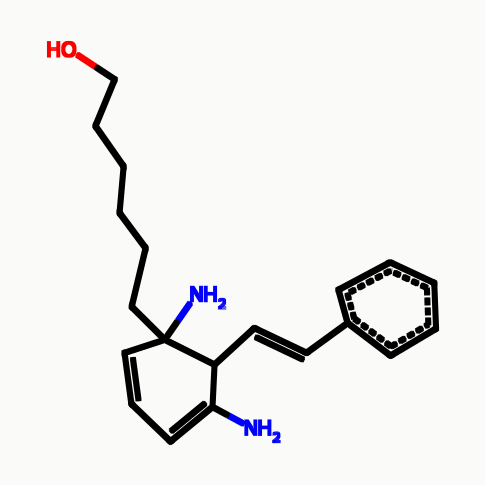 NC1=CC=CC(N)(CCCCCCO)C1C=Cc1ccccc1